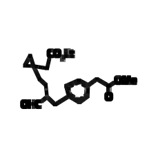 CCOC(=O)CC1(CCC(C=O)Cc2ccc(CC(=O)OC)cc2)CC1